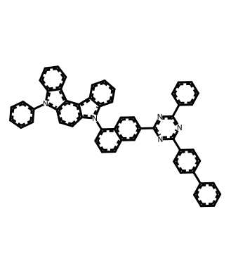 c1ccc(-c2ccc(-c3nc(-c4ccccc4)nc(-c4ccc5c(-n6c7ccccc7c7c8c9ccccc9n(-c9ccccc9)c8ccc76)cccc5c4)n3)cc2)cc1